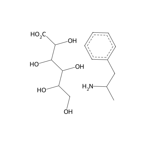 CC(N)Cc1ccccc1.O=C(O)C(O)C(O)C(O)C(O)CO